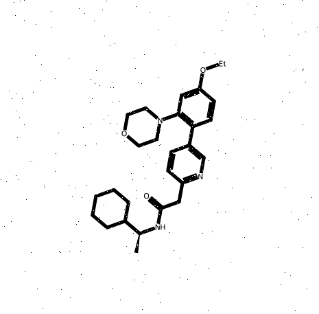 CCOc1ccc(-c2ccc(CC(=O)N[C@@H](C)C3CCCCC3)nc2)c(N2CCOCC2)c1